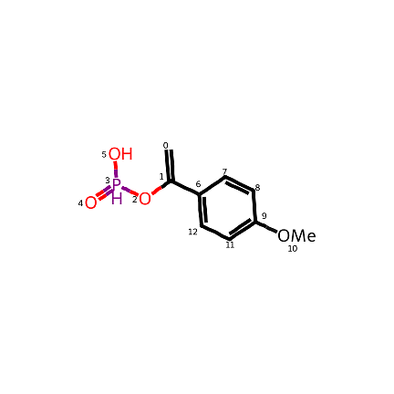 C=C(O[PH](=O)O)c1ccc(OC)cc1